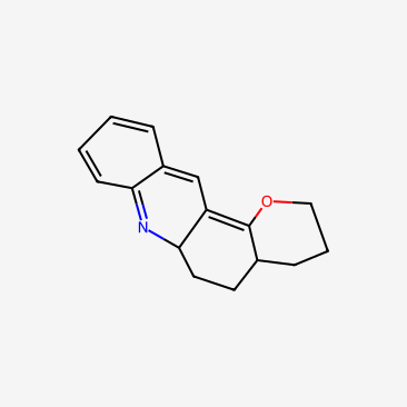 C1=c2ccccc2=NC2CCC3CCCOC3=C12